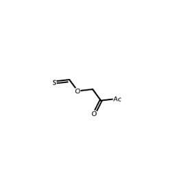 CC(=O)C(=O)COC=S